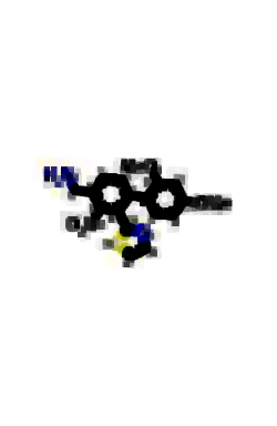 COc1ccc(-c2ccc(CN)c([N+](=O)[O-])c2-c2nccs2)c(OC)c1